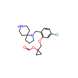 O=COC1(COc2cc(Cl)ccc2CN2CCCC23CCNCC3)CC1